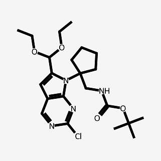 CCOC(OCC)c1cc2cnc(Cl)nc2n1C1(CNC(=O)OC(C)(C)C)CCCC1